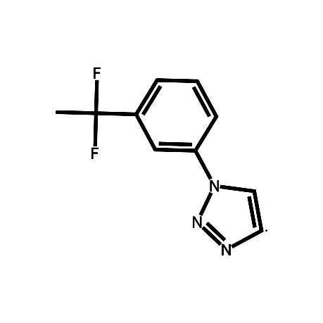 CC(F)(F)c1cccc(-n2c[c]nn2)c1